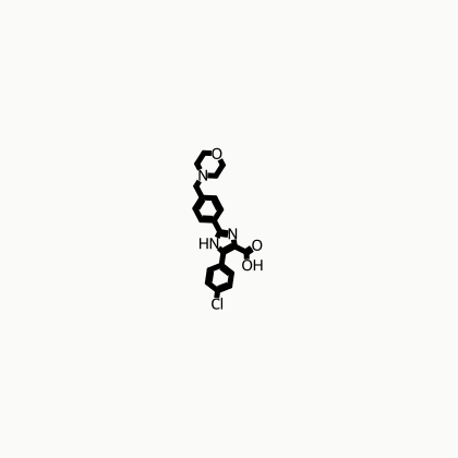 O=C(O)c1nc(-c2ccc(CN3CCOCC3)cc2)[nH]c1-c1ccc(Cl)cc1